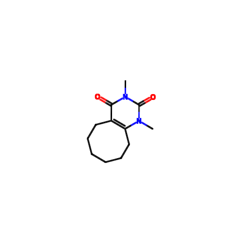 Cn1c2c(c(=O)n(C)c1=O)CCCCCC2